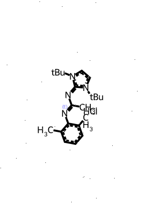 C/C(N=c1n(C(C)(C)C)ccn1C(C)(C)C)=N\c1c(C)cccc1C.Cl